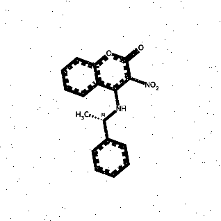 C[C@H](Nc1c([N+](=O)[O-])c(=O)oc2ccccc12)c1ccccc1